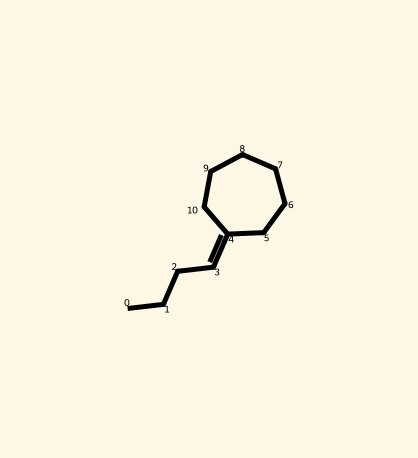 CCCC=C1CCCCCC1